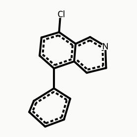 Clc1ccc(-c2ccccc2)c2ccncc12